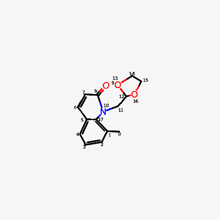 Cc1cccc2ccc(=O)n(CC3OCCO3)c12